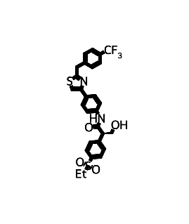 CCS(=O)(=O)c1ccc([C@H](CO)C(=O)Nc2ccc(-c3csc(Cc4ccc(C(F)(F)F)cc4)n3)cc2)cc1